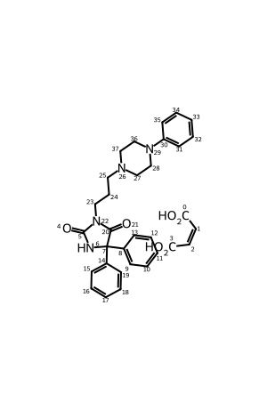 O=C(O)/C=C\C(=O)O.O=C1NC(c2ccccc2)(c2ccccc2)C(=O)N1CCCN1CCN(c2ccccc2)CC1